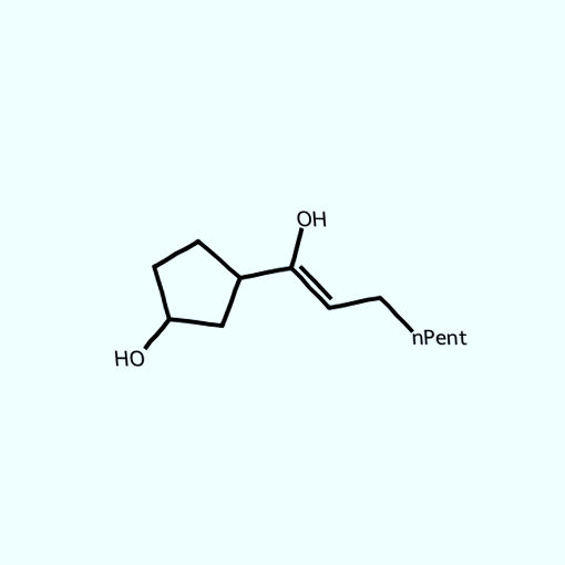 CCCCCCC=C(O)C1CCC(O)C1